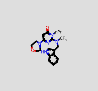 CCCn1c(N(Cc2c[nH]c3ccccc23)C(F)(F)F)nc(N2CCOCC2)cc1=O